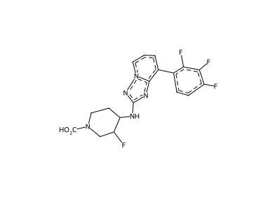 O=C(O)N1CCC(Nc2nc3c(-c4ccc(F)c(F)c4F)cccn3n2)C(F)C1